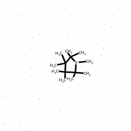 C[S+]1C(C)(C)C(C)(C)C(C)(C)C1(C)C